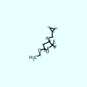 CCOC(=O)C/C(=N/CC1CC1)C(F)(F)F